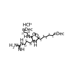 CCCCCCCCCCCCCCCC(=O)N[C@@H](CCCNC(=N)N)C(=O)NCCCCCCCCCCCC.Cl